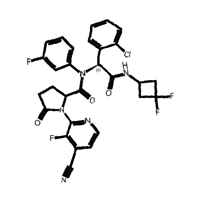 N#Cc1ccnc(N2C(=O)CCC2C(=O)N(c2cccc(F)c2)[C@H](C(=O)NC2CC(F)(F)C2)c2ccccc2Cl)c1F